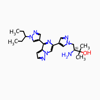 CCC(CC)n1cc(-c2nc(-c3cnn(C[C@H](N)C(C)(C)O)c3)cn3nccc23)cn1